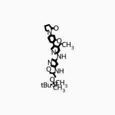 CC1Oc2cc(N3CCCC3=O)ccc2-c2cnc(Nc3cnc4c(c3)NC(CO[Si](C)(C)C(C)(C)C)CO4)cc21